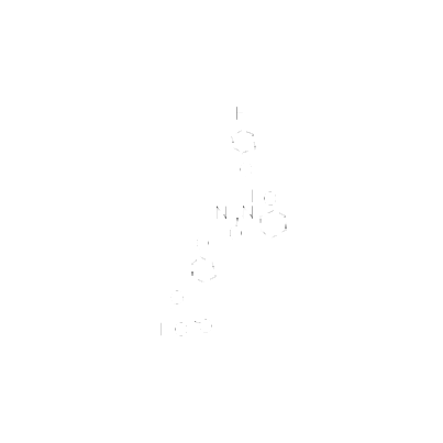 CCOC(Cc1ccc(OCCN(CCCOc2ccc(F)cc2)C(=O)Nc2ccccc2OC)cc1)C(=O)O